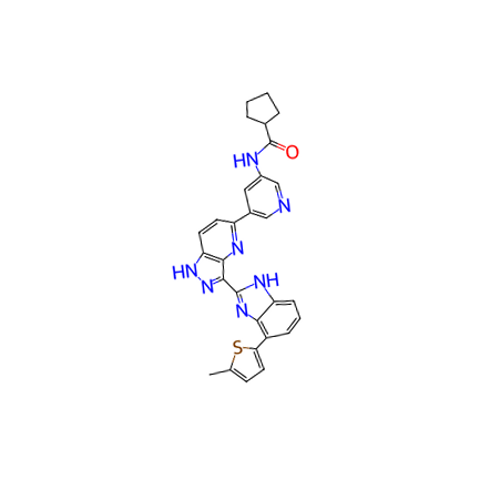 Cc1ccc(-c2cccc3[nH]c(-c4n[nH]c5ccc(-c6cncc(NC(=O)C7CCCC7)c6)nc45)nc23)s1